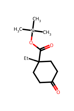 CCC1(C(=O)O[Si](C)(C)C)CCC(=O)CC1